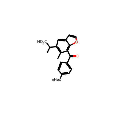 CCCCCCc1ccc(C(=O)c2c(C)c(C(C)C(=O)O)cc3ccoc23)cc1